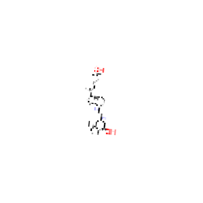 C[C@H](CCCC(C)(C)O)C1CCC2/C(=C/C=C3\C[C@@H]4CCC=C4[C@H](O)C3)CCC[C@@]21C